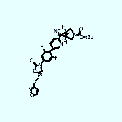 CC(C)(C)OC(=O)N1C[C@@H]2[C@H](C1)[C@@]2(C#N)c1ccc(-c2c(F)cc(N3C[C@H](COc4ccon4)OC3=O)cc2F)cn1